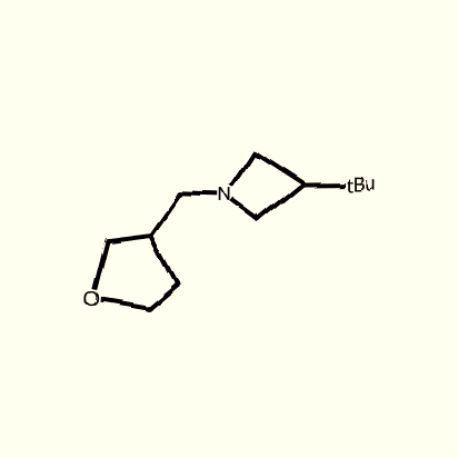 CC(C)(C)C1CN(CC2CCOC2)C1